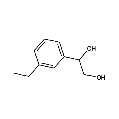 CCc1cccc(C(O)CO)c1